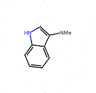 CNc1[c][nH]c2ccccc12